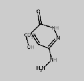 NNc1ccc(=O)[nH]n1.O=C(O)O